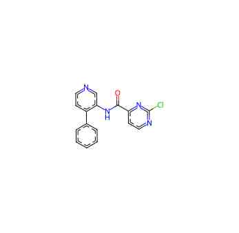 O=C(Nc1cnccc1-c1ccccc1)c1ccnc(Cl)n1